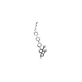 C=CCCCCC1CCC(C2CCC(C3CC=C(c4ccc(OCC)c(F)c4F)CC3)CC2)CC1